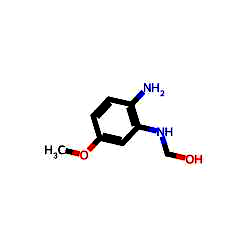 COc1ccc(N)c(NCO)c1